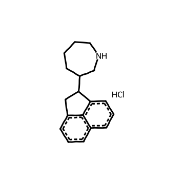 Cl.c1cc2c3c(cccc3c1)C(C1CCCCNC1)C2